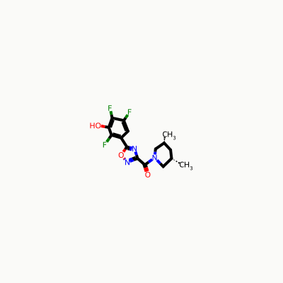 C[C@@H]1C[C@H](C)CN(C(=O)c2noc(-c3cc(F)c(F)c(O)c3F)n2)C1